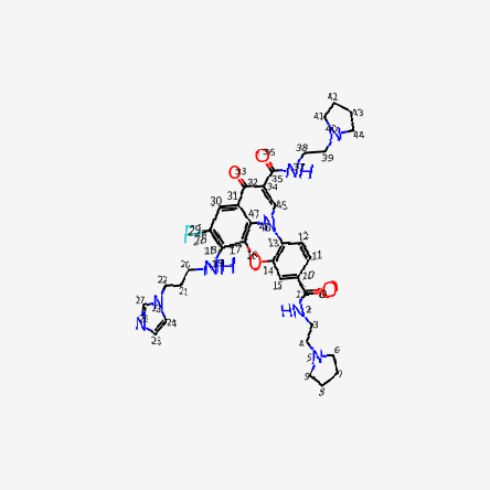 O=C(NCCN1CCCC1)c1ccc2c(c1)Oc1c(NCCCn3ccnc3)c(F)cc3c(=O)c(C(=O)NCCN4CCCC4)cn-2c13